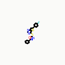 Fc1ccc(-c2cc3ncnc(Sc4nnc(-c5ccccc5)o4)c3s2)cc1